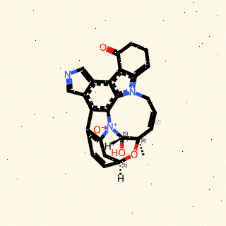 C[C@]12/C=C\Cn3c4c(c5c6c(c7c(c53)[N+]([O-])(C3=C7C=C[C@@H](C3)O1)[C@H]2O)C=NC=6)C(=O)CCC=4